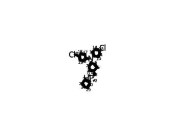 C[PH](C)(Cc1ccc(N(c2ccc(Cl)cc2)c2ccc(Cl)cc2)cc1)c1ccccc1